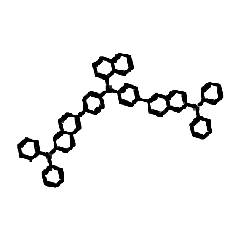 c1ccc(N(c2ccccc2)c2ccc3cc(-c4ccc(N(c5ccc(-c6ccc7cc(N(c8ccccc8)c8ccccc8)ccc7c6)cc5)c5cccc6ccccc56)cc4)ccc3c2)cc1